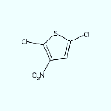 O=[N+]([O-])c1[c]c(Cl)sc1Cl